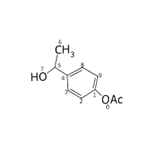 CC(=O)Oc1ccc(C(C)O)cc1